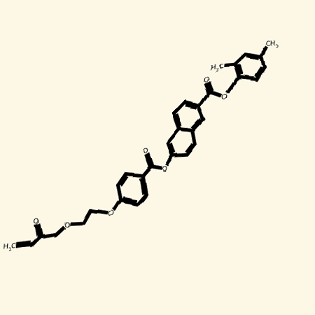 C=CC(=O)COCCOc1ccc(C(=O)Oc2ccc3cc(C(=O)Oc4ccc(C)cc4C)ccc3c2)cc1